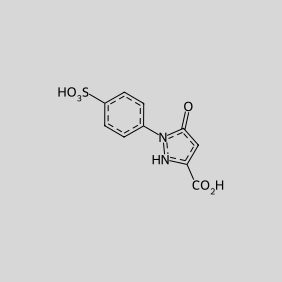 O=C(O)c1cc(=O)n(-c2ccc(S(=O)(=O)O)cc2)[nH]1